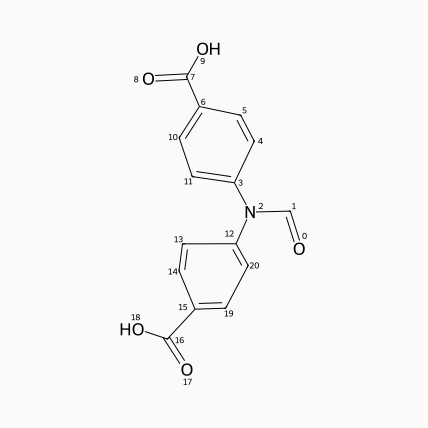 O=CN(c1ccc(C(=O)O)cc1)c1ccc(C(=O)O)cc1